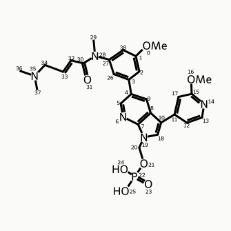 COc1cc(-c2cnc3c(c2)c(-c2ccnc(OC)c2)cn3COP(=O)(O)O)cc(N(C)C(=O)C=CCN(C)C)c1